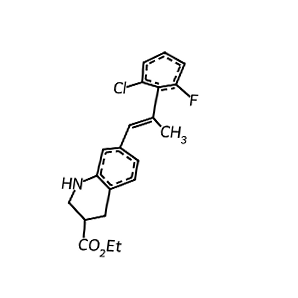 CCOC(=O)C1CNc2cc(/C=C(\C)c3c(F)cccc3Cl)ccc2C1